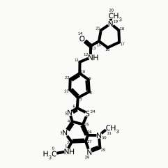 CNc1nc2nc(-c3ccc(CNC(=O)C4CCCN(C)C4)cc3)sc2c2c1ncn2C